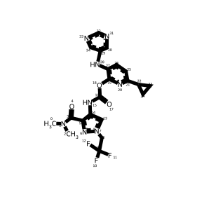 CN(C)C(=O)c1nn(CC(F)(F)F)cc1NC(=O)Oc1nc(C2CC2)ccc1Nc1cncnc1